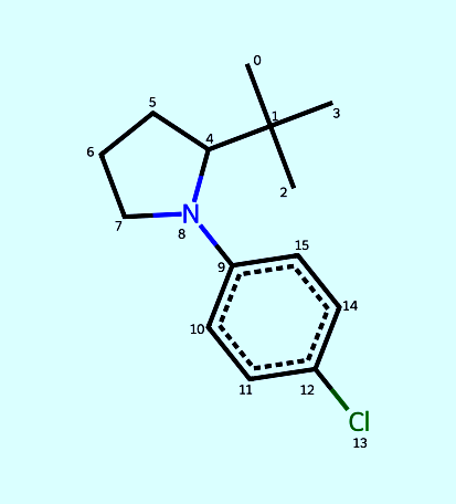 CC(C)(C)C1CCCN1c1ccc(Cl)cc1